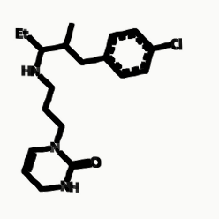 CCC(NCCCN1C=CCNC1=O)C(C)Cc1ccc(Cl)cc1